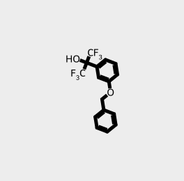 OC(c1cccc(OCc2ccccc2)c1)(C(F)(F)F)C(F)(F)F